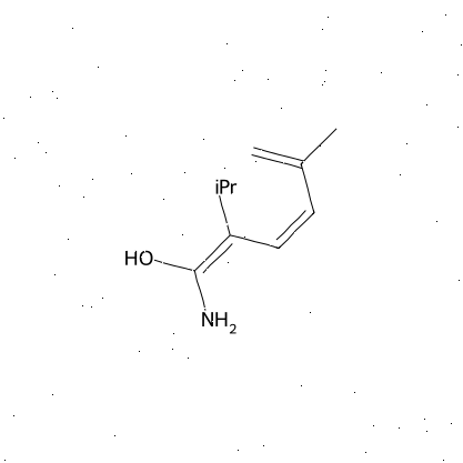 C=C(C)/C=C\C(=C(/N)O)C(C)C